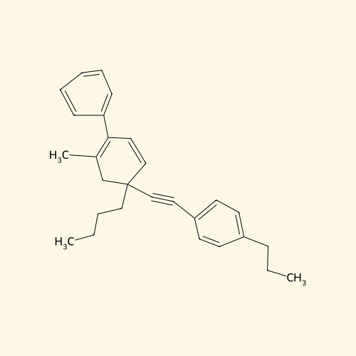 CCCCC1(C#Cc2ccc(CCC)cc2)C=CC(c2ccccc2)=C(C)C1